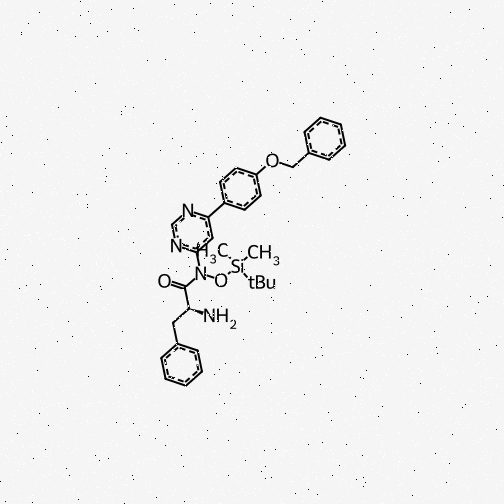 CC(C)(C)[Si](C)(C)ON(C(=O)[C@@H](N)Cc1ccccc1)c1cc(-c2ccc(OCc3ccccc3)cc2)ncn1